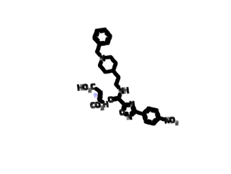 O=C(NCCC1CCN(Cc2ccccc2)CC1)c1nc(-c2ccc([N+](=O)[O-])cc2)no1.O=C(O)/C=C/C(=O)O